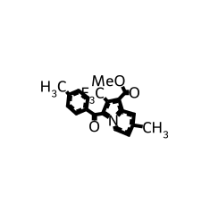 COC(=O)c1c(C(F)(F)F)c(C(=O)c2ccc(C)cc2)n2ccc(C)cc12